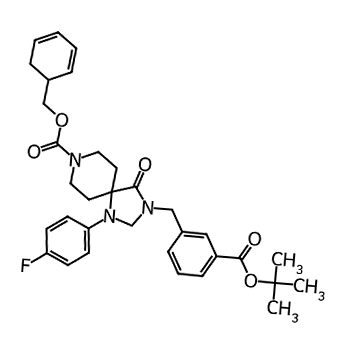 CC(C)(C)OC(=O)c1cccc(CN2CN(c3ccc(F)cc3)C3(CCN(C(=O)OCC4C=CC=CC4)CC3)C2=O)c1